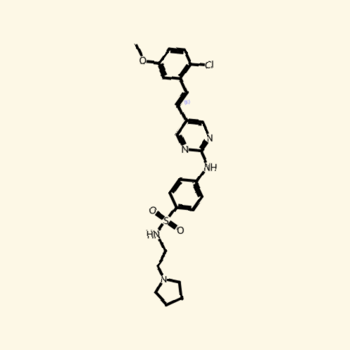 COc1ccc(Cl)c(/C=C/c2cnc(Nc3ccc(S(=O)(=O)NCCN4CCCC4)cc3)nc2)c1